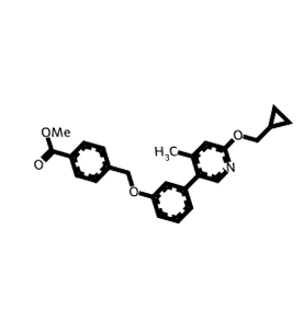 COC(=O)c1ccc(COc2cccc(-c3cnc(OCC4CC4)cc3C)c2)cc1